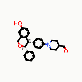 O=CC1CCN(c2ccc([C@H]3c4ccc(O)cc4CO[C@H]3c3ccccc3)cc2)CC1